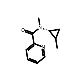 CC1C[C@H]1N(C)C(=O)c1ccccn1